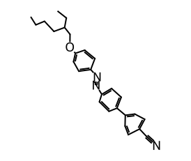 CCCCC(CC)COc1ccc(N=Nc2ccc(-c3ccc(C#N)cc3)cc2)cc1